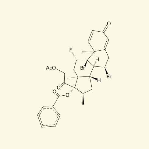 CC(=O)OCC(=O)[C@]1(OC(=O)c2ccccc2)[C@H](C)C[C@H]2[C@@H]3[C@H](Br)CC4=CC(=O)C=C[C@]4(C)[C@@]3(Br)[C@@H](F)C[C@@]21C